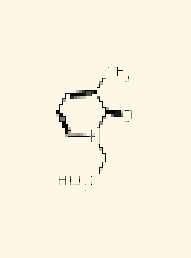 O=C(O)Cn1cccc(C(F)(F)F)c1=O